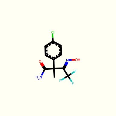 CC(C(N)=O)(C(=NO)C(F)(F)F)c1ccc(Cl)cc1